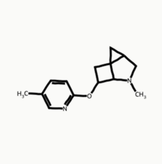 Cc1ccc(OC2CC34CC3CN(C)C24)nc1